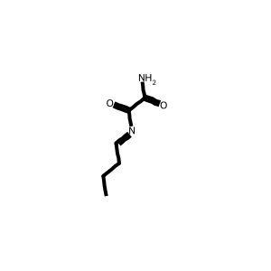 CCCC=NC(=O)C(N)=O